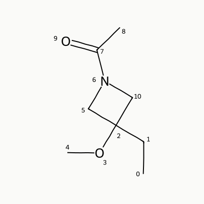 CCC1(OC)CN(C(C)=O)C1